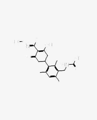 CCON=C(CC)C1=C(O)CC(c2c(C)cc(C)c(CNC(=O)C(F)(F)F)c2C)CC1=O